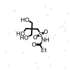 CCC(=O)NS(=O)(=O)CC(CO)(CO)CO